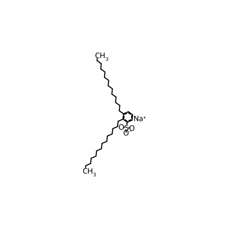 CCCCCCCCCCCCCCc1cccc(S(=O)(=O)[O-])c1CCCCCCCCCCCCCC.[Na+]